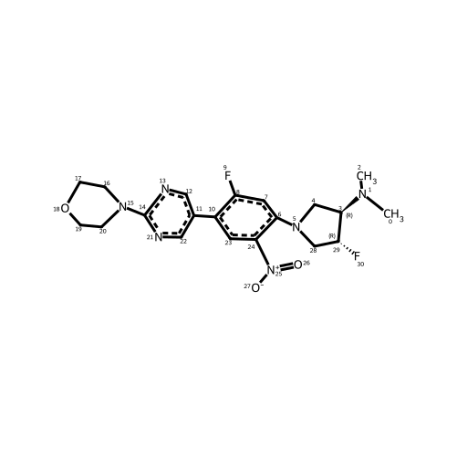 CN(C)[C@@H]1CN(c2cc(F)c(-c3cnc(N4CCOCC4)nc3)cc2[N+](=O)[O-])C[C@H]1F